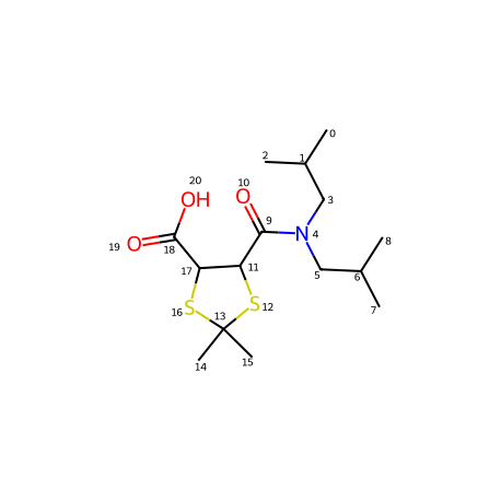 CC(C)CN(CC(C)C)C(=O)C1SC(C)(C)SC1C(=O)O